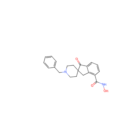 O=C(NO)c1cccc2c1CC1(CCN(Cc3ccccc3)CC1)C2=O